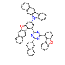 c1ccc2cc(-c3nc(-c4cccc5oc6ccccc6c45)nc(-c4cc(-n5c6ccccc6c6cc7ccccc7cc65)cc5oc6cc7ccccc7cc6c45)n3)ccc2c1